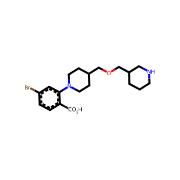 O=C(O)c1ccc(Br)cc1N1CCC(COCC2CCCNC2)CC1